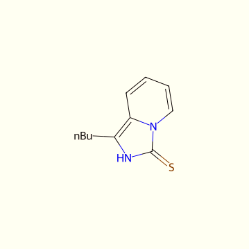 CCCCc1[nH]c(=S)n2ccccc12